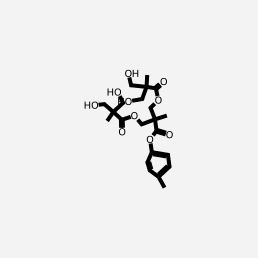 Cc1ccc(OC(=O)C(C)(COC(=O)C(C)(CO)CO)COC(=O)C(C)(CO)CO)cc1